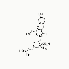 CC(C)(C)OC(=O)N[C@@H](Cc1ccc(O)cc1)C(=O)NC[C@@H]1CC[C@@H](CCB(O)O)C[C@]1(N)C(=O)O